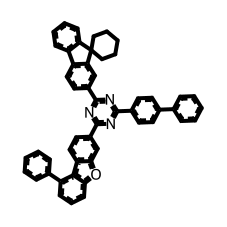 c1ccc(-c2ccc(-c3nc(-c4ccc5c(c4)C4(CCCCC4)c4ccccc4-5)nc(-c4ccc5c(c4)oc4cccc(-c6ccccc6)c45)n3)cc2)cc1